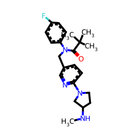 CNC1CCN(c2ccc(CN(C(=O)C(C)(C)C)c3ccc(F)cc3)cn2)C1